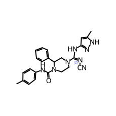 Cc1ccc(NC(=O)N2CCN(/C(=N\C#N)Nc3cc(C)[nH]n3)CC2c2ccccc2)cc1